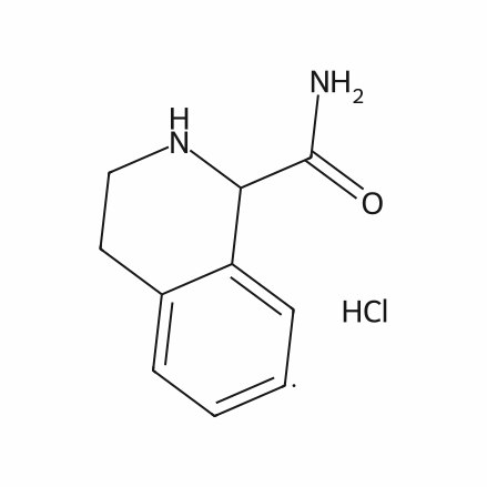 Cl.NC(=O)C1NCCc2cc[c]cc21